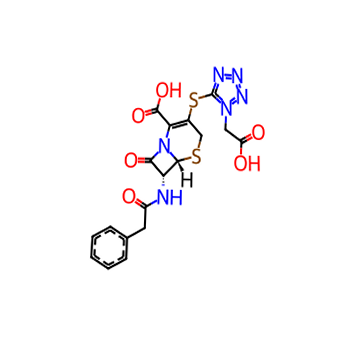 O=C(O)Cn1nnnc1SC1=C(C(=O)O)N2C(=O)[C@@H](NC(=O)Cc3ccccc3)[C@H]2SC1